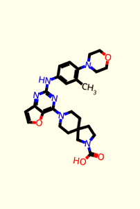 Cc1cc(Nc2nc(N3CCC4(CCN(C(=O)O)C4)CC3)c3occc3n2)ccc1N1CCOCC1